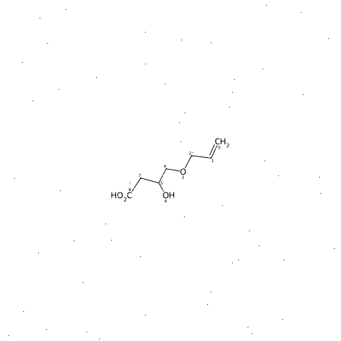 C=CCOCC(O)CC(=O)O